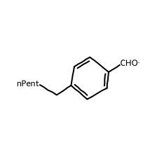 CCCCCCc1ccc([C]=O)cc1